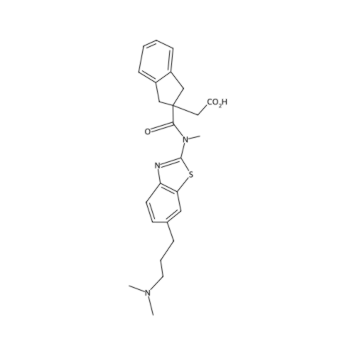 CN(C)CCCc1ccc2nc(N(C)C(=O)C3(CC(=O)O)Cc4ccccc4C3)sc2c1